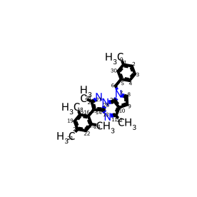 Cc1cccc(Cn2ccc3c(C)nc4c(-c5c(C)cc(C)cc5C)c(C)nn4c32)c1